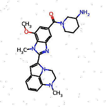 COc1cc(C(=O)N2CCCC(N)C2)cc2nc(-c3cc4cccc5c4n3CCN5C)n(C)c12